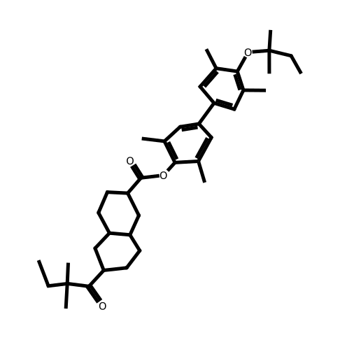 CCC(C)(C)Oc1c(C)cc(-c2cc(C)c(OC(=O)C3CCC4CC(C(=O)C(C)(C)CC)CCC4C3)c(C)c2)cc1C